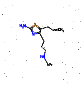 C=CCc1sc(N)nc1CCCNCCC